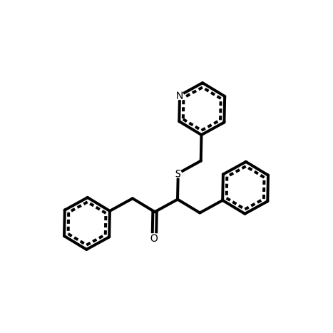 O=C(Cc1ccccc1)C(Cc1ccccc1)SCc1cccnc1